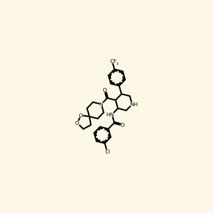 O=C(NC1CNCC(c2ccc(C(F)(F)F)cc2)C1C(=O)N1CCC2(CCOO2)CC1)c1cccc(Cl)c1